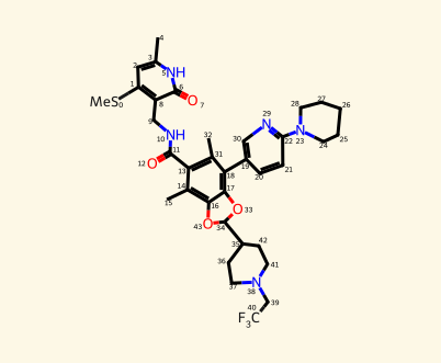 CSc1cc(C)[nH]c(=O)c1CNC(=O)c1c(C)c2c(c(-c3ccc(N4CCCCC4)nc3)c1C)OC(C1CCN(CC(F)(F)F)CC1)O2